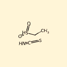 CC[SH](=O)=O.N=C=S